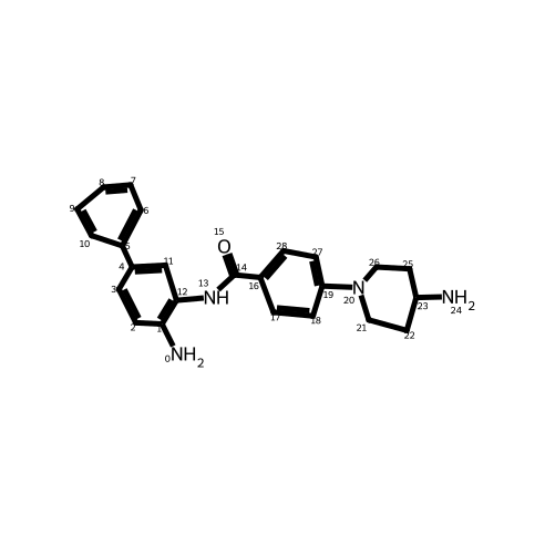 Nc1ccc(-c2ccccc2)cc1NC(=O)c1ccc(N2CCC(N)CC2)cc1